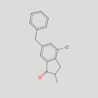 CC1Cc2c(Cl)cc(Cc3ccccc3)cc2C1=O